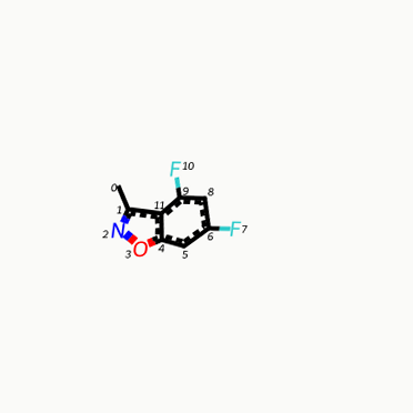 Cc1noc2cc(F)cc(F)c12